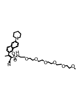 COCCOCCOCCOCCOCCOCCNS(=O)(=O)C(C#N)=C(C)c1ccc2cc(N3CCCCC3)ccc2c1